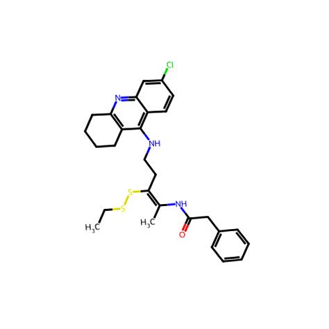 CCSSC(CCNc1c2c(nc3cc(Cl)ccc13)CCCC2)=C(C)NC(=O)Cc1ccccc1